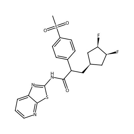 CS(=O)(=O)c1ccc(C(C[C@H]2C[C@@H](F)[C@@H](F)C2)C(=O)Nc2nc3cccnc3s2)cc1